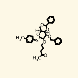 CC(=O)CCCO[C@@H]1[C@@H](OCc2ccccc2)[C@H]2OC(c3ccccc3)OC[C@H]2O[C@H]1Sc1ccc(C)cc1